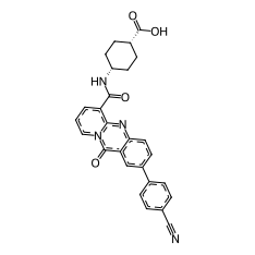 N#Cc1ccc(-c2ccc3nc4c(C(=O)N[C@H]5CC[C@@H](C(=O)O)CC5)cccn4c(=O)c3c2)cc1